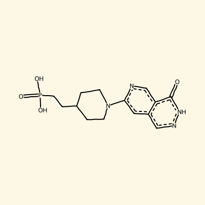 O=c1[nH]ncc2cc(N3CCC(CCP(=O)(O)O)CC3)ncc12